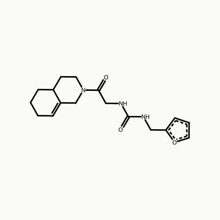 O=C(NCC(=O)N1CCC2CCCC=C2C1)NCc1ccco1